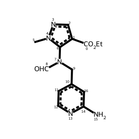 CCOC(=O)c1cnn(C)c1N(C=O)Cc1ccnc(N)c1